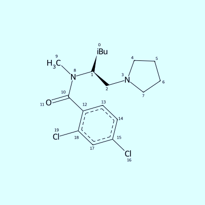 CC[C@H](C)[C@@H](CN1CCCC1)N(C)C(=O)c1ccc(Cl)cc1Cl